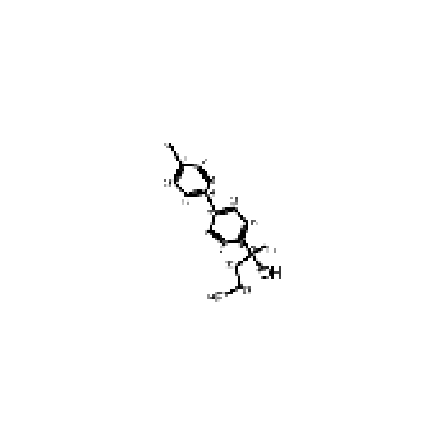 Cc1ccc(-c2ccc(C(C)(O)CCF)cc2)cc1